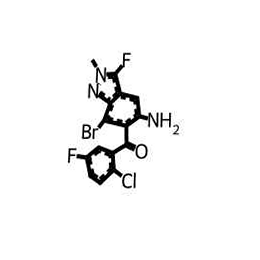 Cn1nc2c(Br)c(C(=O)c3cc(F)ccc3Cl)c(N)cc2c1F